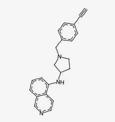 C#Cc1ccc(CN2CCC(Nc3cccc4cnccc34)C2)cc1